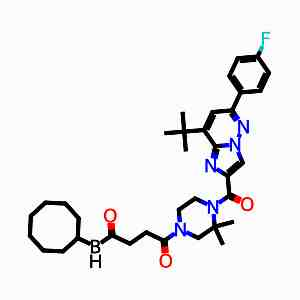 CC(C)(C)c1cc(-c2ccc(F)cc2)nn2cc(C(=O)N3CCN(C(=O)CCC(=O)BC4CCCCCCC4)CC3(C)C)nc12